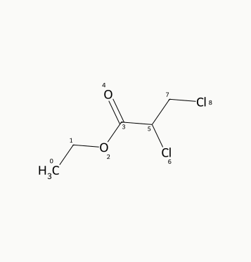 CCOC(=O)C(Cl)CCl